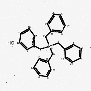 [OH-].c1ccc(C[P+](Cc2ccccc2)(Cc2ccccc2)Cc2ccccc2)cc1